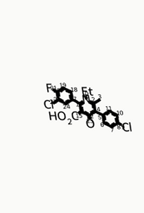 CCn1c(C)c(-c2ccc(Cl)cc2)c(=O)c(C(=O)O)c1-c1ccc(F)c(Cl)c1